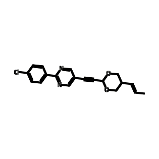 C/C=C/C1COC(C#Cc2cnc(-c3ccc(Cl)cc3)nc2)OC1